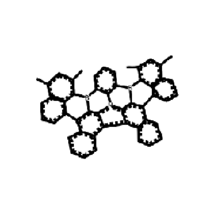 Cc1cc(C)c(B2c3cccc4c3-n3c5c2c(-c2ccccc2)c2ccccc2c5c2c5ccccc5c(-c5ccccc5)c(c23)B4c2c(C)cc(C)cc2C)c(C)c1